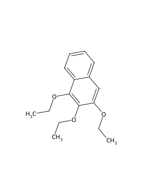 CCOc1[c]c2ccccc2c(OCC)c1OCC